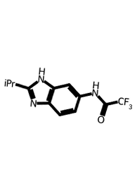 CC(C)c1nc2ccc(NC(=O)C(F)(F)F)cc2[nH]1